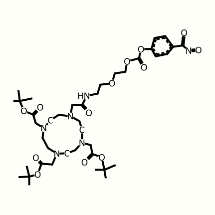 CC(C)(C)OC(=O)CN1CCN(CC(=O)NCCOCCOC(=O)Oc2ccc(C(=O)N=O)cc2)CCN(CC(=O)OC(C)(C)C)CCN(CC(=O)OC(C)(C)C)CC1